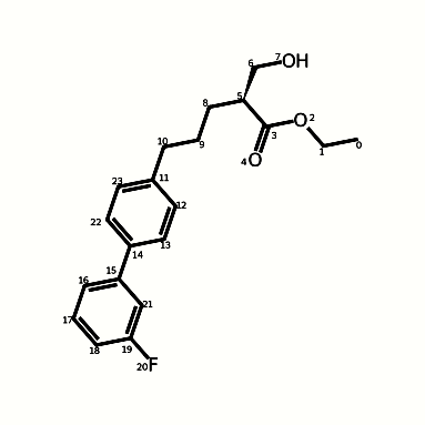 CCOC(=O)[C@H](CO)CCCc1ccc(-c2cccc(F)c2)cc1